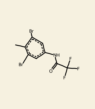 Cc1c(Br)cc(NC(=O)C(F)(F)F)cc1Br